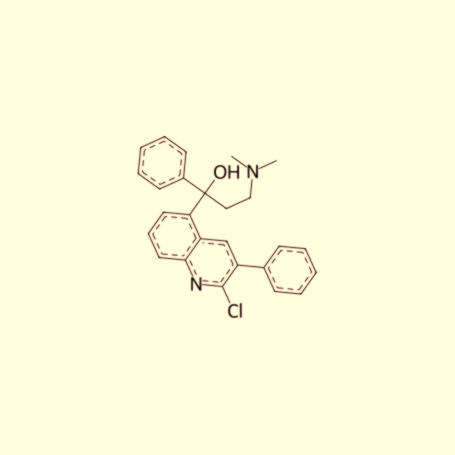 CN(C)CCC(O)(c1ccccc1)c1cccc2nc(Cl)c(-c3ccccc3)cc12